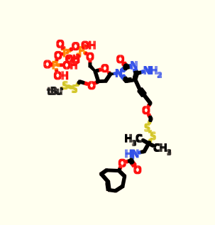 CC(C)(C)SSCOC1C[C@H](n2cc(C#CCOCSSC(C)(C)CNC(=O)OC3CC/C=C/CCC3)c(N)nc2=O)O[C@@H]1COP(=O)(O)OP(=O)(O)OP(=O)(O)O